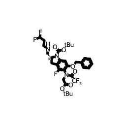 CC(C)(C)OC(=O)CN(C(=O)C(F)(F)F)c1c(OCc2ccccc2)cc2c(c1F)C[C@H](CNCCC(F)F)N2C(=O)OC(C)(C)C